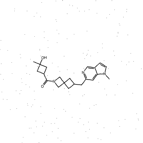 Cn1ccc2cnc(CC3CC4(C3)CN(C(=O)C3CC(C)(O)C3)C4)cc21